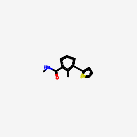 CNC(=O)c1cccc(-c2cccs2)c1C